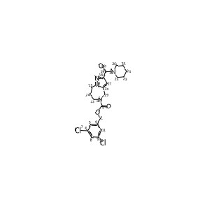 O=C(OCc1cc(Cl)cc(Cl)c1)N1CCCn2nc(C(=O)N3CCCCC3)cc2C1